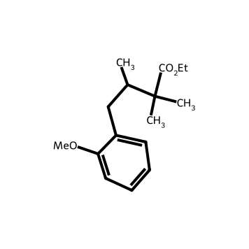 CCOC(=O)C(C)(C)C(C)Cc1ccccc1OC